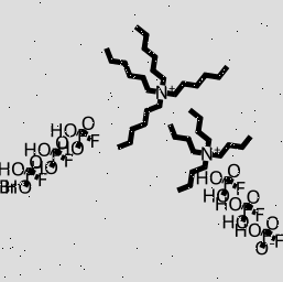 CCCCCC[N+](CCCCCC)(CCCCCC)CCCCCC.CCCC[N+](CCCC)(CCCC)CCCC.O=P(O)(O)F.O=P(O)(O)F.O=P(O)(O)F.O=P(O)(O)F.O=P(O)(O)F.O=P([O-])(O)F.[Br-]